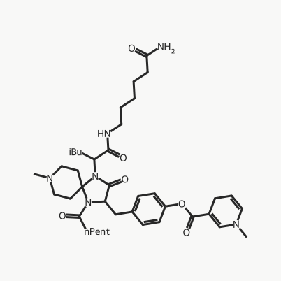 CCCCCC(=O)N1C(Cc2ccc(OC(=O)C3=CN(C)C=CC3)cc2)C(=O)N(C(C(=O)NCCCCCC(N)=O)C(C)CC)C12CCN(C)CC2